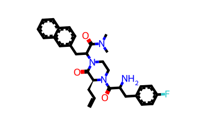 C=CC[C@H]1C(=O)N(C(Cc2ccc3ccccc3c2)C(=O)N(C)C)CCN1C(=O)C(N)Cc1ccc(F)cc1